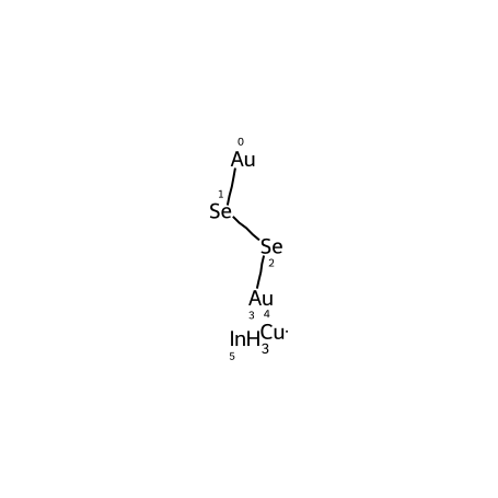 [Au][Se][Se][Au].[Cu].[InH3]